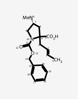 CC=CCC1(C(=O)O)C[C@@H](NC)CN1C(=O)OCc1ccccc1